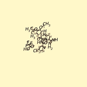 CCOc1cc(C(Nc2ccc(C(=N)N)cc2)C(=O)NNC(=O)c2cc(Cl)ccn2)ccc1OC(C)C.O=C(O)C(F)(F)F